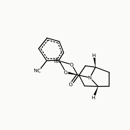 CC(C)(C)OC(=O)N1[C@@H]2CC[C@H]1C[C@H](Oc1ccccc1C#N)C2